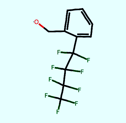 [O]Cc1ccccc1C(F)(F)C(F)(F)C(F)(F)C(F)(F)F